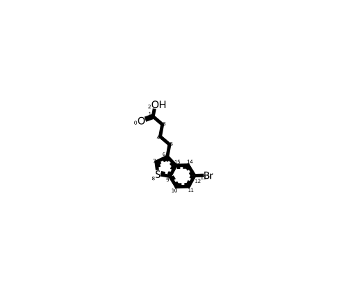 O=C(O)CCCc1csc2ccc(Br)cc12